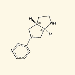 c1cncc(N2C[C@@H]3CCN[C@H]3C2)c1